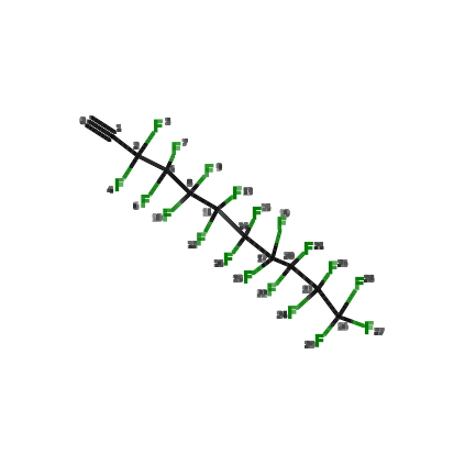 [C]#CC(F)(F)C(F)(F)C(F)(F)C(F)(F)C(F)(F)C(F)(F)C(F)(F)C(F)(F)C(F)(F)F